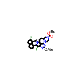 C#Cc1c(F)ccc2cccc(-c3nc4c5c(nc(OC)nc5c3F)N3CCN(C(=O)OC(C)(C)C)CC3CC4)c12